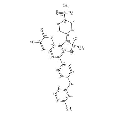 Cc1ccnc(Oc2ccc(-c3nc4c(c5c3NC(C)(Cl)N5C3CCN(S(C)(=O)=O)CC3)CC(=O)C(F)=C4)cc2)n1